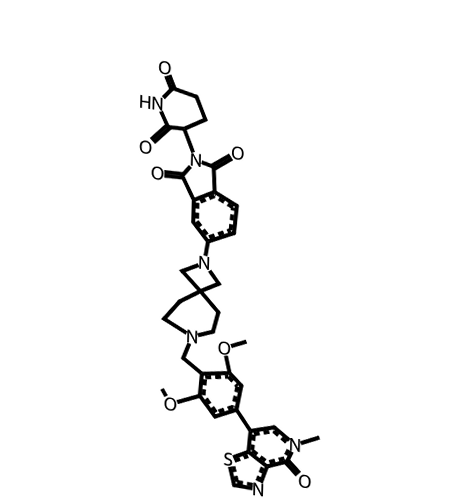 COc1cc(-c2cn(C)c(=O)c3ncsc23)cc(OC)c1CN1CCC2(CC1)CN(c1ccc3c(c1)C(=O)N(C1CCC(=O)NC1=O)C3=O)C2